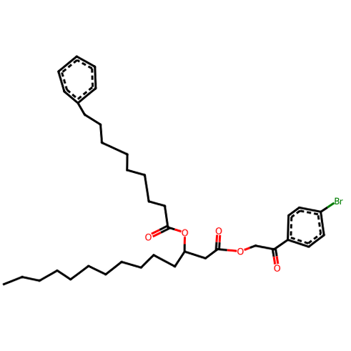 CCCCCCCCCCCC(CC(=O)OCC(=O)c1ccc(Br)cc1)OC(=O)CCCCCCCCc1ccccc1